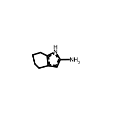 Nc1cc2c([nH]1)CCCC2